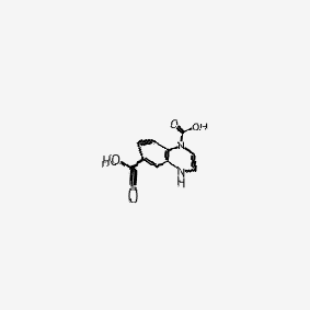 O=C(O)c1ccc2c(c1)NC=CN2C(=O)O